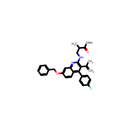 C=C(C)c1c(NCC(C)C(=O)OC)nc2cc(OCc3ccccc3)ccc2c1-c1ccc(F)cc1